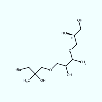 CC(OC[C@@H](O)CO)C(O)COCC(C)(O)CC(C)(C)C